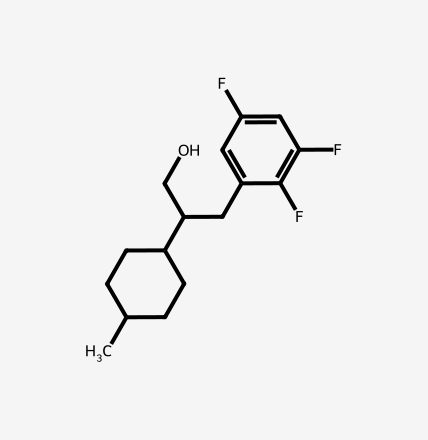 CC1CCC(C(CO)Cc2cc(F)cc(F)c2F)CC1